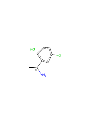 C[C@H](N)c1cccc(Cl)c1.Cl